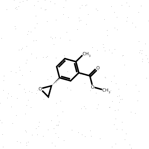 COC(=O)c1cc([C@@H]2CO2)ccc1C